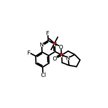 CC(C)(C)OC(=O)N1C2CCC1CN(c1nc(F)nc3c(F)cc(Cl)cc13)C2